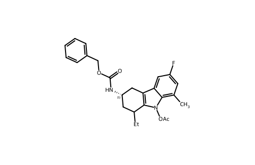 CCC1C[C@H](NC(=O)OCc2ccccc2)Cc2c1n(OC(C)=O)c1c(C)cc(F)cc21